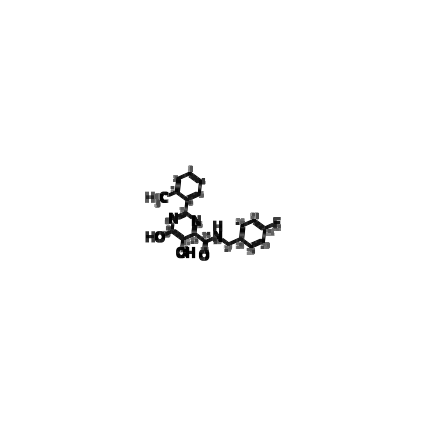 Cc1ccccc1-c1nc(O)c(O)c(C(=O)NCc2ccc(F)cc2)n1